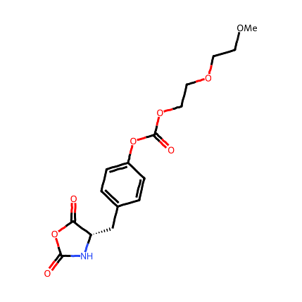 COCCOCCOC(=O)Oc1ccc(C[C@@H]2NC(=O)OC2=O)cc1